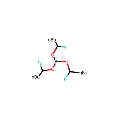 CCCCC(F)OB(OC(F)CCCC)OC(F)CCCC